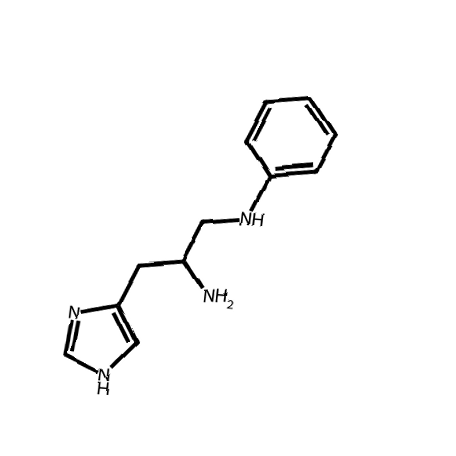 NC(CNc1ccccc1)Cc1c[nH]cn1